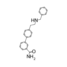 NC(=O)c1cccc(-c2ccc(CCNCc3ccccc3)cc2)c1